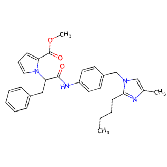 CCCCc1nc(C)cn1Cc1ccc(NC(=O)C(Cc2ccccc2)n2cccc2C(=O)OC)cc1